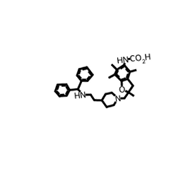 Cc1c(C)c2c(c(C)c1NC(=O)O)CC(C)(CN1CCC(CCNC(c3ccccc3)c3ccccc3)CC1)O2